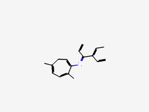 C=CC(=C\C)/C(C=C)=N/C1=CCC(C)=CC=C1C